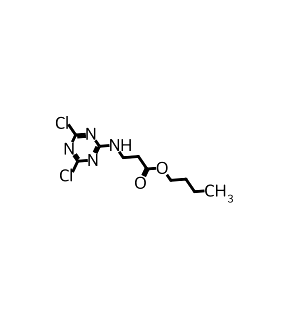 CCCCOC(=O)CCNc1nc(Cl)nc(Cl)n1